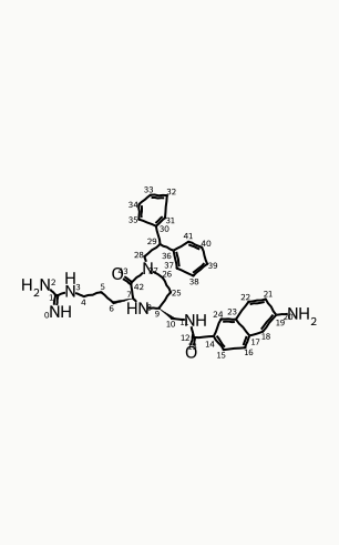 N=C(N)NCCC[C@@H]1N[C@H](CNC(=O)c2ccc3cc(N)ccc3c2)CCN(CC(c2ccccc2)c2ccccc2)C1=O